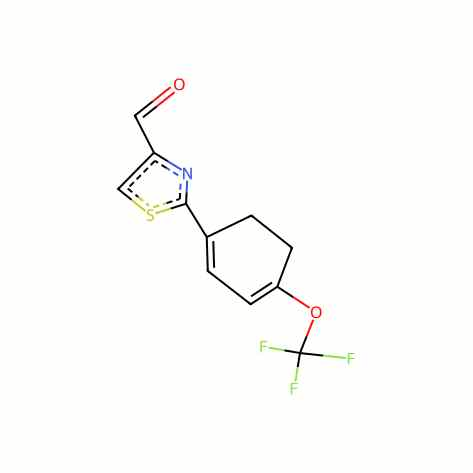 O=Cc1csc(C2=CC=C(OC(F)(F)F)CC2)n1